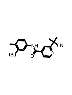 Cc1ccc(NC(=O)c2ccnc(C(C)(C)C#N)c2)cc1C(C)(C)C